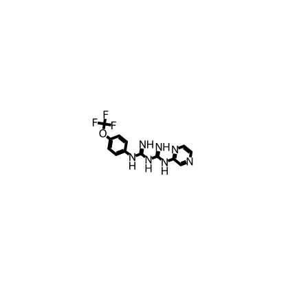 N=C(NC(=N)Nc1cnccn1)Nc1ccc(OC(F)(F)F)cc1